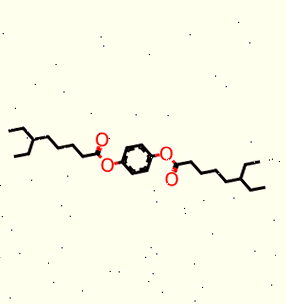 CCC(CC)CCCCC(=O)Oc1ccc(OC(=O)CCCCC(CC)CC)cc1